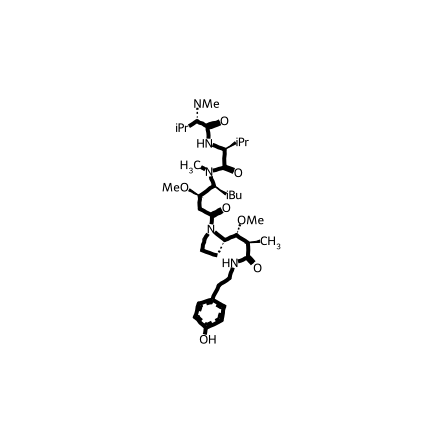 CCC(C)[C@@H]([C@@H](CC(=O)N1CCC[C@H]1[C@H](OC)[C@@H](C)C(=O)NCCc1ccc(O)cc1)OC)N(C)C(=O)[C@@H](NC(=O)[C@@H](NC)C(C)C)C(C)C